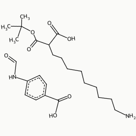 CC(C)(C)OC(=O)C(CCCCCCCCCN)C(=O)O.O=CNc1ccc(C(=O)O)cc1